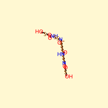 O=C(NCSCSC/N=C\[S+]([O-])CSCSCSC(=O)NCSCSC/N=C/OOCCSCCO)OCCSCCO